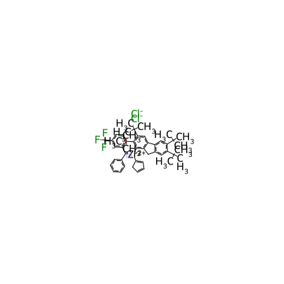 CC(C)(C)c1cc2c(cc1C(C)(C)C)-c1cc(C(C)(C)C)c(C(C)(C)C)[c](/[Zr+2]([C]3=CC=CC3)=[C](/c3ccccc3)c3cccc(C(F)(F)F)c3)c1C2.[Cl-].[Cl-]